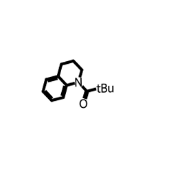 CC(C)(C)C(=O)N1CCCc2ccccc21